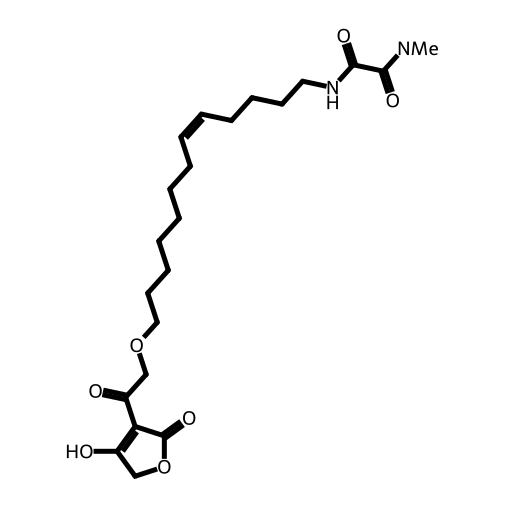 CNC(=O)C(=O)NCCCC/C=C\CCCCCCCOCC(=O)C1=C(O)COC1=O